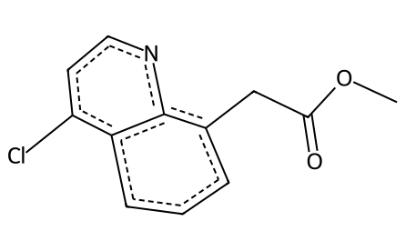 COC(=O)Cc1cccc2c(Cl)ccnc12